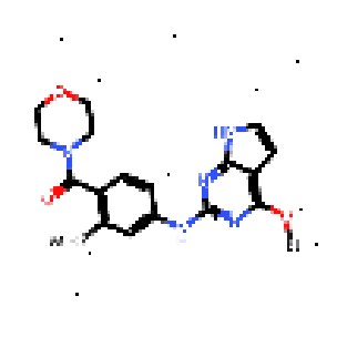 CCOc1nc(Nc2ccc(C(=O)N3CCOCC3)c(OC)c2)nc2[nH]ccc12